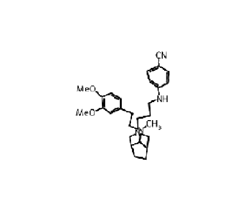 COc1ccc(CCN(C)C2C3CCC2CN(CCCNc2ccc(C#N)cc2)C3)cc1OC